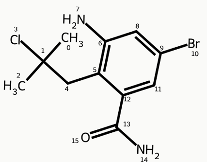 CC(C)(Cl)Cc1c(N)cc(Br)cc1C(N)=O